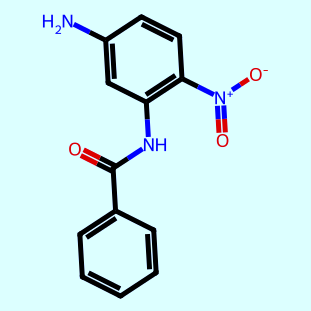 Nc1ccc([N+](=O)[O-])c(NC(=O)c2ccccc2)c1